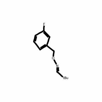 CC(C)(C)C=NOCc1cccc(F)c1